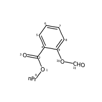 CCCOC(=O)c1ccccc1OC=O